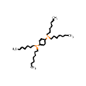 CCCCCCCP(CCCCCCC)c1ccc(P(CCCCCCC)CCCCCCC)cc1